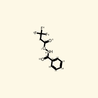 O=C(CC(F)(F)F)ONC(=O)c1ccccc1